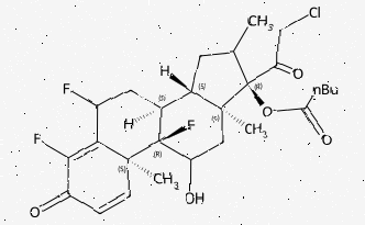 CCCCC(=O)O[C@]1(C(=O)CCl)C(C)C[C@H]2[C@@H]3CC(F)C4=C(F)C(=O)C=C[C@]4(C)[C@@]3(F)C(O)C[C@@]21C